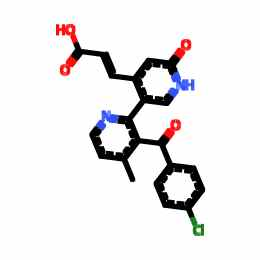 Cc1ccnc(-c2c[nH]c(=O)cc2C=CC(=O)O)c1C(=O)c1ccc(Cl)cc1